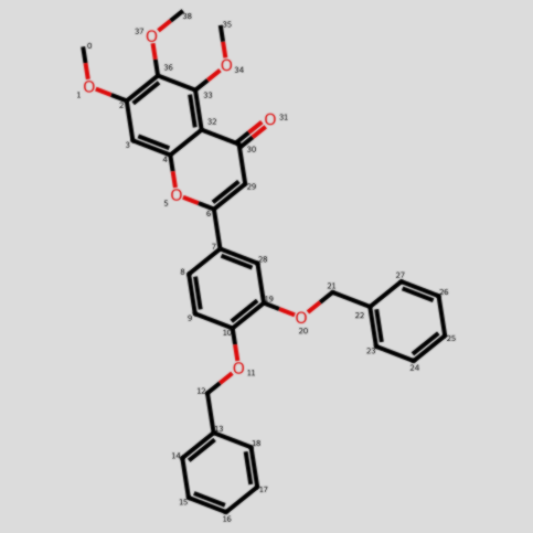 COc1cc2oc(-c3ccc(OCc4ccccc4)c(OCc4ccccc4)c3)cc(=O)c2c(OC)c1OC